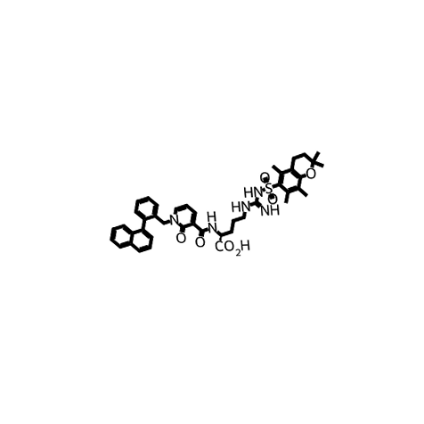 Cc1c(C)c(S(=O)(=O)NC(=N)NCCC[C@H](NC(=O)c2cccn(Cc3ccccc3-c3cccc4ccccc34)c2=O)C(=O)O)c(C)c2c1OC(C)(C)CC2